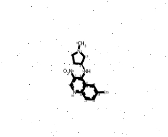 CN1CC[C@H](Nc2c([N+](=O)[O-])cnc3ccc(I)cc23)C1